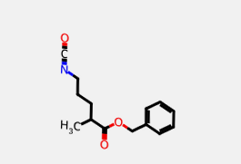 CC(CCCN=C=O)C(=O)OCc1ccccc1